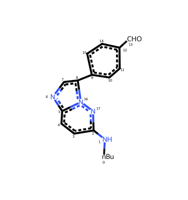 CCCCNc1ccc2ncc(-c3ccc(C=O)cc3)n2n1